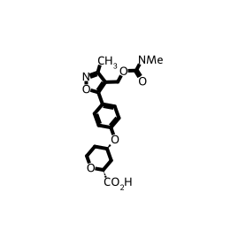 CNC(=O)OCc1c(C)noc1-c1ccc(O[C@H]2CCO[C@@H](C(=O)O)C2)cc1